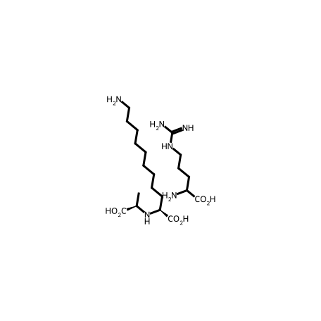 C[C@@H](N[C@@H](CCCCCCCCCN)C(=O)O)C(=O)O.N=C(N)NCCCC(N)C(=O)O